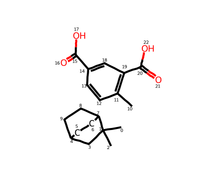 CC1(C)CC2CCC1CC2.Cc1ccc(C(=O)O)cc1C(=O)O